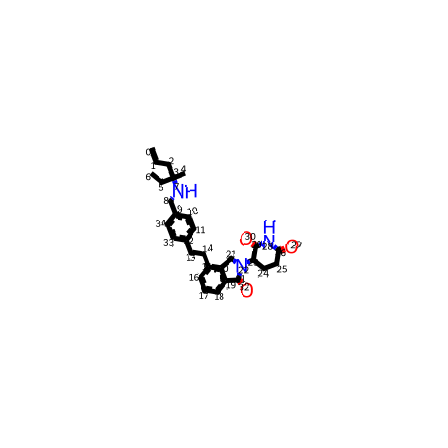 C=CCC(C)(CC)NCc1ccc(CCc2cccc3c2CN(C2CCC(=O)NC2=O)C3=O)cc1